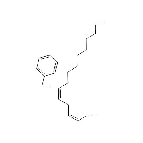 CCCCC/C=C\C/C=C\CCCCCCCC(=O)O.O=C(O)c1ccccc1